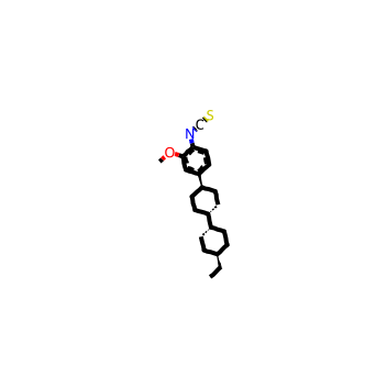 CC[C@H]1CC[C@H]([C@H]2CC[C@H](c3ccc(N=C=S)c(OC)c3)CC2)CC1